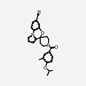 Cc1cc(C(=O)N2CCC3(CC2)Oc2cc(C#N)ccc2-n2cccc23)ccc1OC(C)C